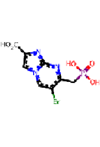 O=C(O)c1cn2cc(Br)c(CP(=O)(O)O)nc2n1